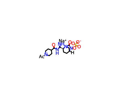 CC(=O)N1CCC(C(=O)NC(=N)[C@@H]2CC[C@@H]3CN2C(=O)N3OS(=O)(=O)[O-])CC1.[Na+]